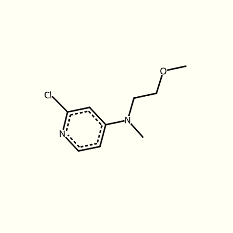 COCCN(C)c1ccnc(Cl)c1